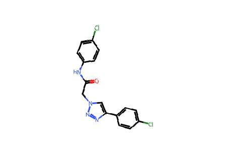 O=C(Cn1cc(-c2ccc(Cl)cc2)nn1)Nc1ccc(Cl)cc1